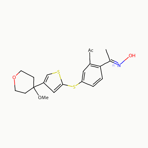 COC1(c2csc(Sc3ccc(/C(C)=N/O)c(C(C)=O)c3)c2)CCOCC1